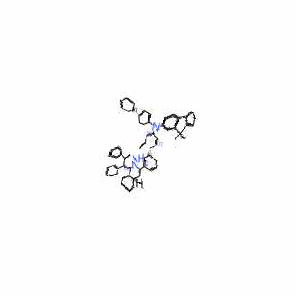 C=C/C=C(\C=C/C[C@H]1C=C(C2=C[C@H]3CC=CC=C3/C(=C(/C(=C)c3ccccc3)C3=CC=CCC3)N2N)C=CC1)N(C1=CC=C([C@H]2C=CC=CC2)CC1)c1ccc2c(c1)C(C)(C)c1ccccc1-2